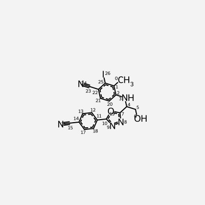 Cc1c(NC(CO)c2nnc(-c3ccc(C#N)cc3)o2)ccc(C#N)c1I